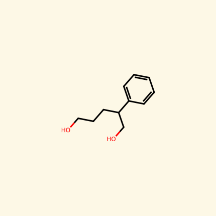 OCCCC(CO)c1ccccc1